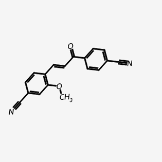 COc1cc(C#N)ccc1C=CC(=O)c1ccc(C#N)cc1